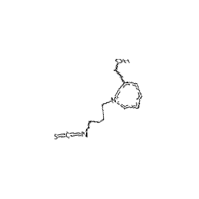 OCc1cccc[n+]1CCCN=C=S